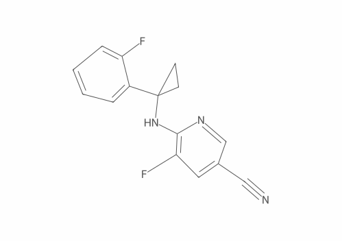 N#Cc1cnc(NC2(c3ccccc3F)CC2)c(F)c1